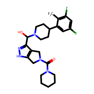 O=C(N1CCCCC1)N1Cc2[nH]nc(C(O)N3CCC(c4cc(F)cc(F)c4C(F)(F)F)CC3)c2C1